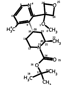 COC1(c2nccc(C)c2[C@H]2CCN(C(=O)OC(C)(C)C)[C@H](C)C2)COC1